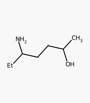 CCC(N)C[CH]C(C)O